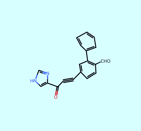 O=Cc1ccc(C#CC(=O)c2c[nH]cn2)cc1-c1ccccc1